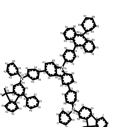 CC1(C)c2ccccc2-c2ccc(N(c3ccccc3)c3ccc(-c4ccc5c(c4)c4cc(-c6ccc(N(c7ccccc7)c7cc(-c8ccccc8)c8c(c7)C(C)(C)c7ccccc7-8)cc6)ccc4n5-c4ccc(-c5c6ccccc6c(-c6ccccc6)c6ccccc56)cc4)cc3)cc21